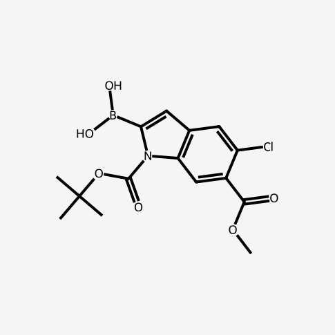 COC(=O)c1cc2c(cc1Cl)cc(B(O)O)n2C(=O)OC(C)(C)C